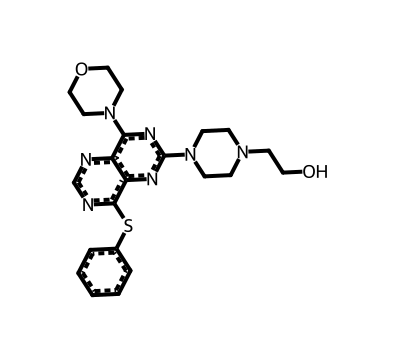 OCCN1CCN(c2nc(N3CCOCC3)c3ncnc(Sc4ccccc4)c3n2)CC1